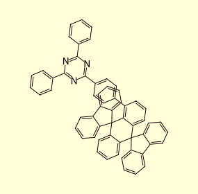 c1ccc(-c2nc(-c3ccccc3)nc(-c3ccc(-c4cccc5c4C4(c6ccccc6-c6ccccc64)c4ccccc4C54c5ccccc5-c5ccccc54)cc3)n2)cc1